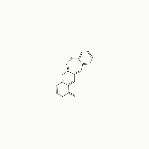 O=C1CC=Cc2cc3c(cc21)=Cc1ccccc1SC=3